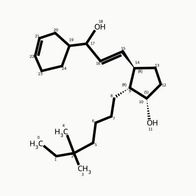 CCC(C)(C)CCCC[C@H]1[C@@H](O)CC[C@@H]1C=CC(O)C1CC=CCC1